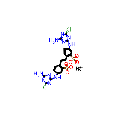 Nc1nc(Cl)nc(Nc2ccc(C=Cc3ccc(Nc4nc(N)nc(Cl)n4)cc3S(=O)(=O)[O-])c(S(=O)(=O)[O-])c2)n1.[K+].[K+]